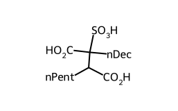 CCCCCCCCCCC(C(=O)O)(C(CCCCC)C(=O)O)S(=O)(=O)O